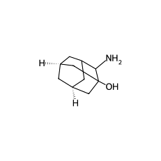 NC1C2C[C@@H]3C[C@@H](C2)CC1(O)C3